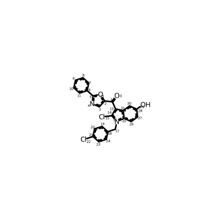 O=C(c1cnc(-c2ccccc2)o1)c1c(Cl)n(Cc2ccc(Cl)cc2)c2ccc(O)cc12